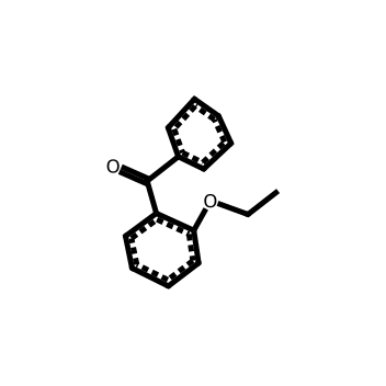 CCOc1ccccc1C(=O)c1ccccc1